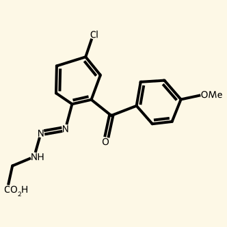 COc1ccc(C(=O)c2cc(Cl)ccc2N=NNCC(=O)O)cc1